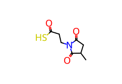 CC1CC(=O)N(CCC(=O)S)C1=O